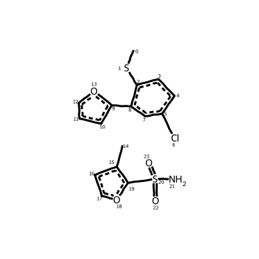 CSc1ccc(Cl)cc1-c1ccco1.Cc1ccoc1S(N)(=O)=O